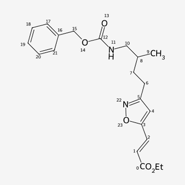 CCOC(=O)C=Cc1cc(CCC(C)CNC(=O)OCc2ccccc2)no1